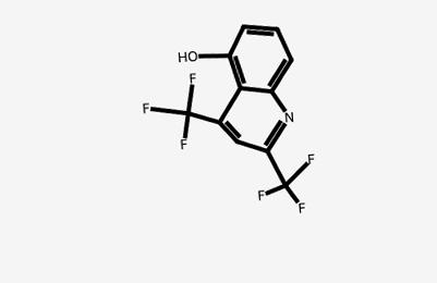 Oc1cccc2nc(C(F)(F)F)cc(C(F)(F)F)c12